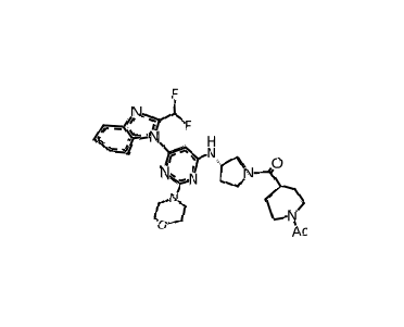 CC(=O)N1CCC(C(=O)N2CC[C@H](Nc3cc(-n4c(C(F)F)nc5ccccc54)nc(N4CCOCC4)n3)C2)CC1